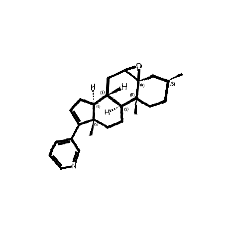 C[C@H]1CC[C@]2(C)[C@H]3CC[C@]4(C)C(c5cccnc5)=CC[C@H]4[C@@H]3CC3O[C@@]32C1